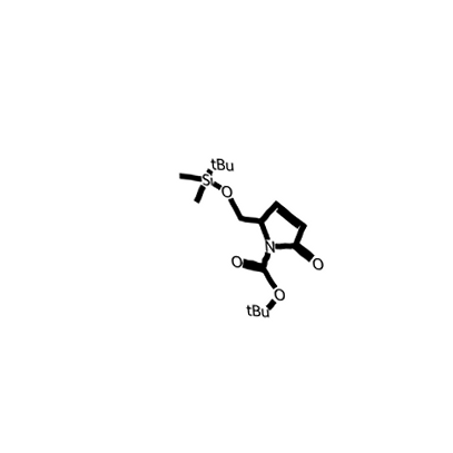 CC(C)(C)OC(=O)N1C(=O)C=CC1CO[Si](C)(C)C(C)(C)C